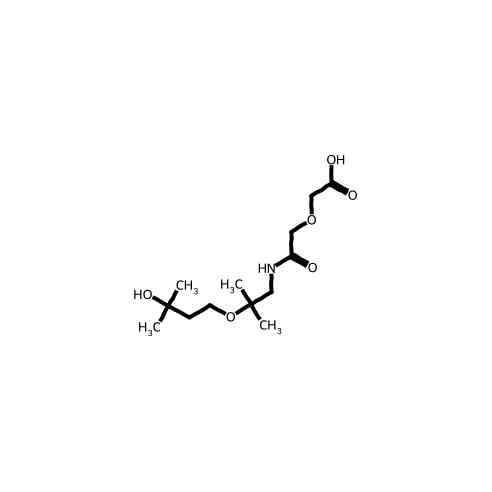 CC(C)(O)CCOC(C)(C)CNC(=O)COCC(=O)O